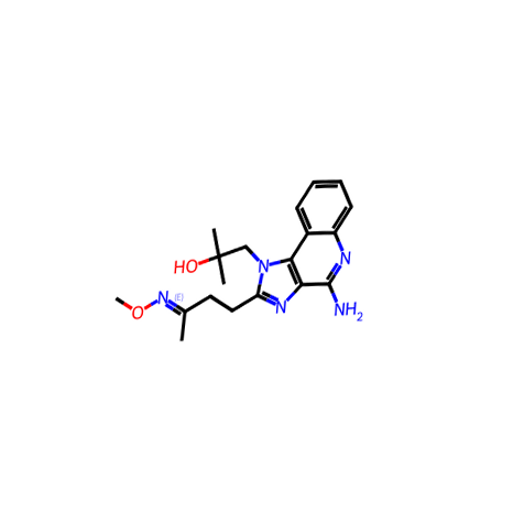 CO/N=C(\C)CCc1nc2c(N)nc3ccccc3c2n1CC(C)(C)O